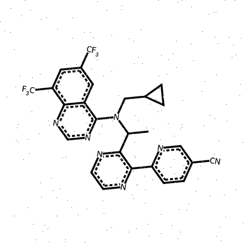 CC(c1nccnc1-c1ccc(C#N)cn1)N(CC1CC1)c1ncnc2c(C(F)(F)F)cc(C(F)(F)F)cc12